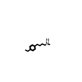 CCc1ccc(CCCCNC)cc1